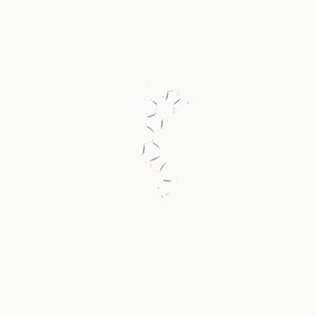 C=C(CC(C)(C)C)c1cc2cc(-c3ccc(C(=N)c4c(C)sc(C)c4C)cc3)ccc2o1